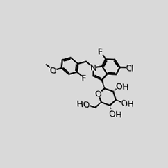 COc1ccc(Cn2cc([C@@H]3O[C@H](CO)[C@@H](O)[C@H](O)[C@H]3O)c3cc(Cl)cc(F)c32)c(F)c1